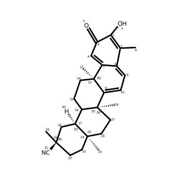 CC1=C(O)C(=O)C=C2C1=CC=C1[C@@]2(C)CCC2[C@@H]3C[C@](C)(C#N)CC[C@]3(C)CC[C@]12C